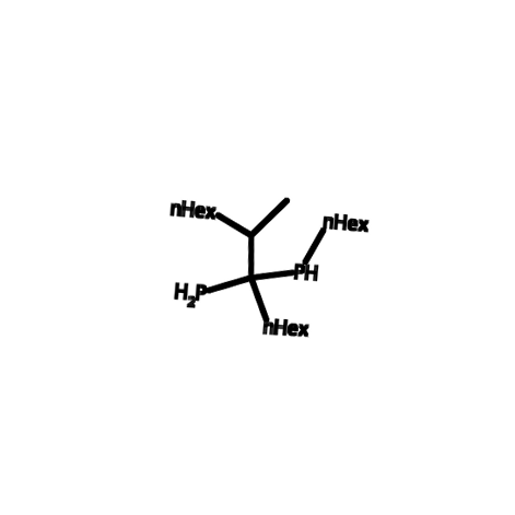 CCCCCCPC(P)(CCCCCC)C(C)CCCCCC